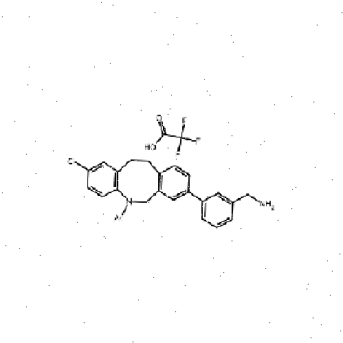 CC(=O)N1Cc2cc(-c3cccc(CN)c3)ccc2CCc2cc(Cl)ccc21.O=C(O)C(F)(F)F